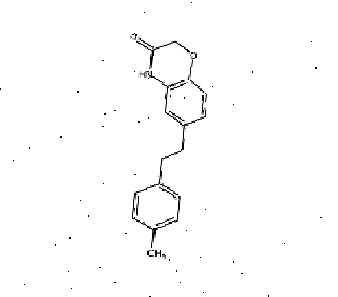 Cc1ccc(CCc2ccc3c(c2)NC(=O)CO3)cc1